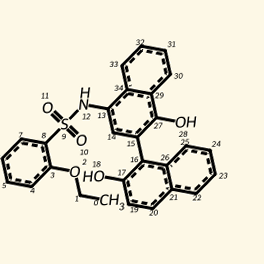 CCOc1ccccc1S(=O)(=O)Nc1cc(-c2c(O)ccc3ccccc23)c(O)c2ccccc12